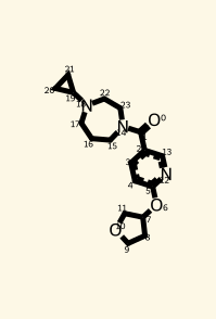 O=C(c1ccc(OC2CCOC2)nc1)N1CCCN(C2CC2)CC1